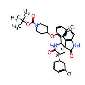 CC(C)(C)OC(=O)N1CCC(Oc2ccc(I)cc2C2NC(=O)[C@@H](C3C=CC=C(Cl)C3)C[C@]23C(=O)Nc2cc(Cl)ccc23)CC1